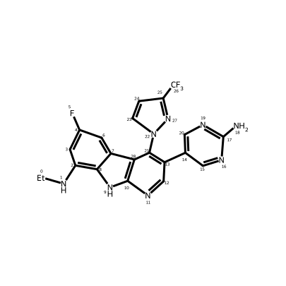 CCNc1cc(F)cc2c1[nH]c1ncc(-c3cnc(N)nc3)c(-n3ccc(C(F)(F)F)n3)c12